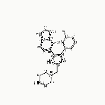 Cc1cccc(-c2nc(CN3CCNCC3)[nH]c2-c2ccn3ncnc3c2)n1